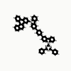 c1ccc(-c2nc(-c3ccccc3)nc(-n3c4ccccc4c4cc(-c5ccc(-c6ccc7c(c6)c6ccccc6n7-c6ccc7c8ccccc8c8c9ccccc9ccc8c7c6)cc5)ccc43)n2)cc1